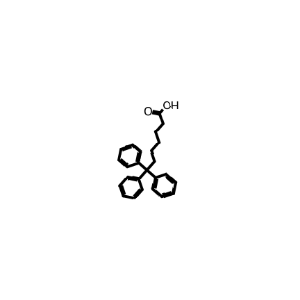 O=C(O)CCCCCC(c1ccccc1)(c1ccccc1)c1ccccc1